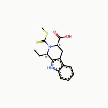 CC[C@@H]1c2[nH]c3ccccc3c2C[C@H](C(=O)O)N1C(=S)SC